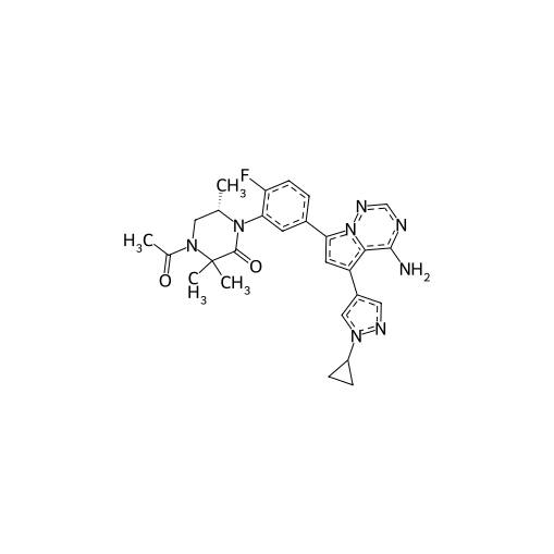 CC(=O)N1C[C@H](C)N(c2cc(-c3cc(-c4cnn(C5CC5)c4)c4c(N)ncnn34)ccc2F)C(=O)C1(C)C